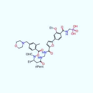 CCCCC[C@@H](C(=O)NCNC(=O)c1ccc(-c2ccc(C(=O)NCP(=O)(O)O)c(OCC)c2)o1)[C@@H](CC)N(C=O)OC(=O)c1ccc(CN2CCOCC2)cc1C